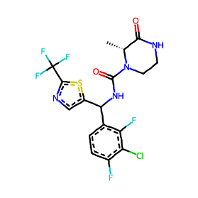 C[C@@H]1C(=O)NCCN1C(=O)NC(c1cnc(C(F)(F)F)s1)c1ccc(F)c(Cl)c1F